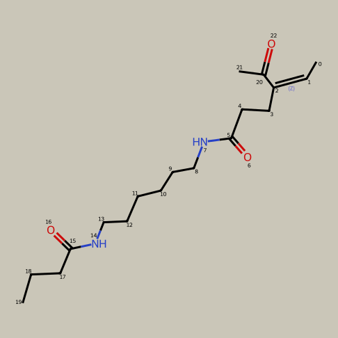 C/C=C(/CCC(=O)NCCCCCCNC(=O)CCC)C(C)=O